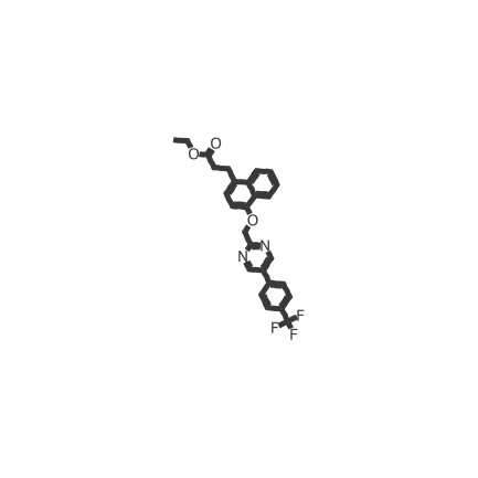 CCOC(=O)CCc1ccc(OCc2ncc(-c3ccc(C(F)(F)F)cc3)cn2)c2ccccc12